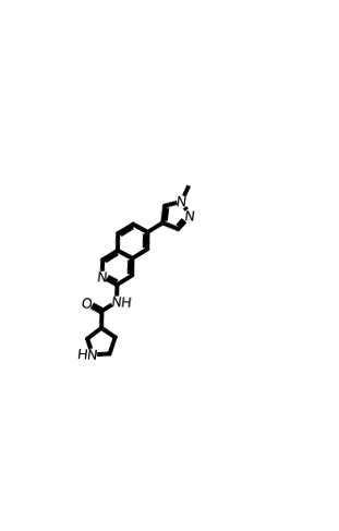 Cn1cc(-c2ccc3cnc(NC(=O)C4CCNC4)cc3c2)cn1